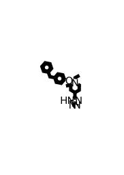 CCN1CCC(c2nnn[nH]2)CC1(C)Oc1ccc(Cc2ccccc2)cc1